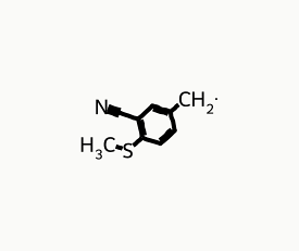 [CH2]c1ccc(SC)c(C#N)c1